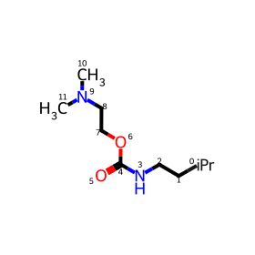 CC(C)CCNC(=O)OCCN(C)C